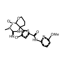 COc1cccc(NC(=O)c2cc(Cl)c(C34CCCOC3[S+]([O-])N(C)C(=N)N4)s2)n1